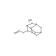 C=CCC1C2CC3CC(C2)CC1C3.[LiH]